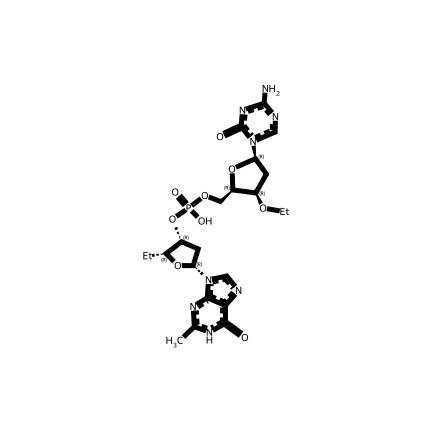 CCO[C@@H]1C[C@H](n2cnc(N)nc2=O)O[C@@H]1COP(=O)(O)O[C@@H]1C[C@H](n2cnc3c(=O)[nH]c(C)nc32)O[C@@H]1CC